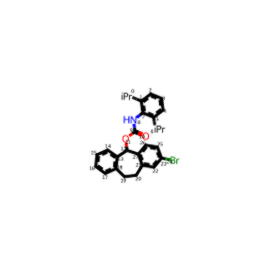 CC(C)c1cccc(C(C)C)c1NC(=O)OC1c2ccccc2CCc2cc(Br)ccc21